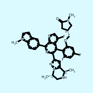 C[C@H]1NC[C@H](C)n2nc(-c3nc(-c4ccc5c(ccn5C)c4)c4scc(F)c4c3-c3c(F)cc(F)cc3OC[C@@H]3CC(=O)N(C)C3)cc21